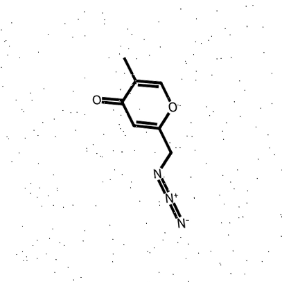 Cc1coc(CN=[N+]=[N-])cc1=O